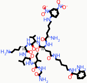 CCC(C)[C@H](NC(=O)[C@@H](NC(=O)[C@H](CCCCN)NC(=O)[C@@H](NC(=O)[C@H](CCC(=O)NCCCCCNC(=O)c1ccccc1N)NC(=O)[C@@H](N)CCCCNc1ccc([N+](=O)[O-])cc1[N+](=O)[O-])C(C)C)C(C)C)C(=O)NCC(N)=O